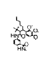 CCCCCC(c1ccc(OC)c(OC)c1OC)C(C(=O)Nc1cccc(C(=O)NC)c1)C(C)(C)C